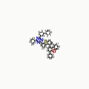 c1ccc(-c2cccc(-c3nc(-c4ccccc4)nc(-c4cccc5c4sc4cccc(-c6ccc(-c7ccccc7)c7oc8ccccc8c67)c45)n3)c2)cc1